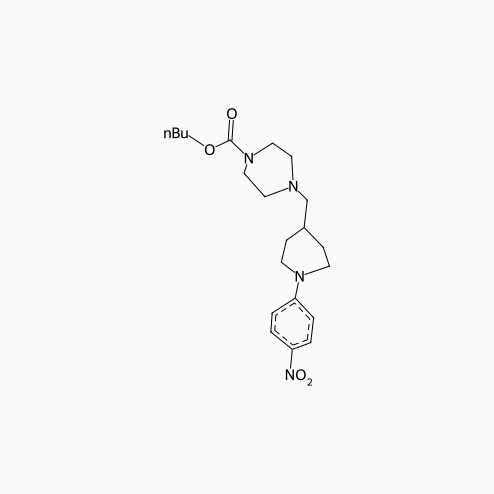 CCCCOC(=O)N1CCN(CC2CCN(c3ccc([N+](=O)[O-])cc3)CC2)CC1